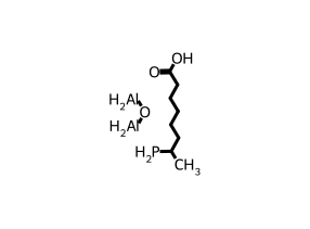 CC(P)CCCCCC(=O)O.[AlH2][O][AlH2]